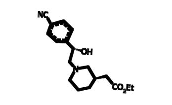 CCOC(=O)C[C@H]1CCCN(C[C@@H](O)c2ccc(C#N)cc2)C1